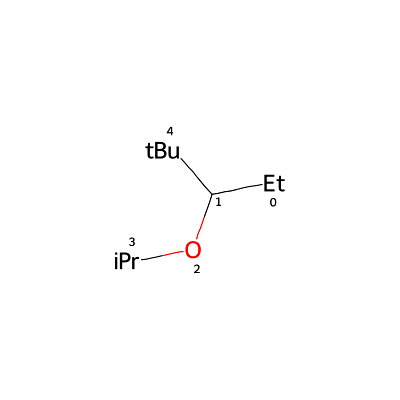 CCC(OC(C)C)C(C)(C)C